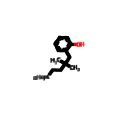 CCCCCCCCCC(C)(C)Cc1ccccc1O